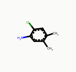 Cc1cc(N)c(Cl)cc1C